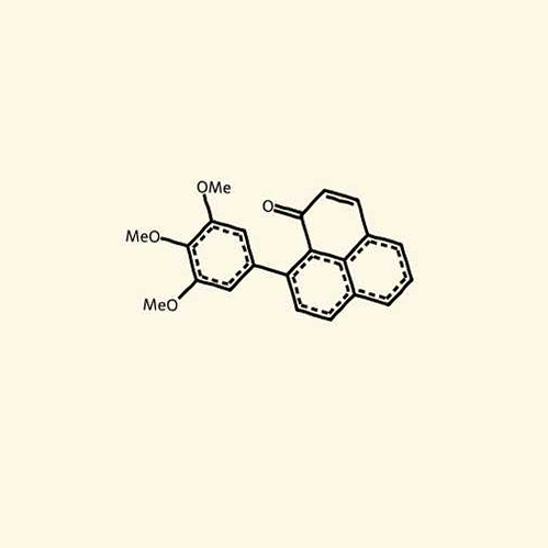 COc1cc(-c2ccc3cccc4c3c2C(=O)C=C4)cc(OC)c1OC